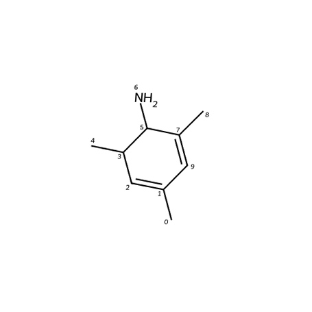 CC1=CC(C)C(N)C(C)=C1